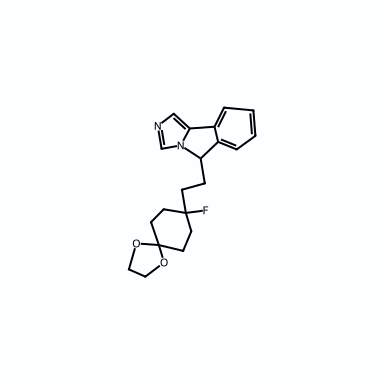 FC1(CCC2c3ccccc3-c3cncn32)CCC2(CC1)OCCO2